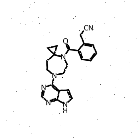 N#CCc1ccccc1C(=O)N1CCN(c2ncnc3[nH]ccc23)CCC12CC2